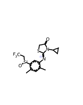 Cc1cc(C)c([S+]([O-])CC(F)(F)F)cc1/N=C1\SCC(=O)N1C1CC1